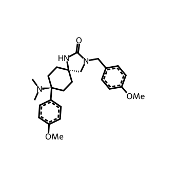 COc1ccc(CN2C[C@]3(CC[C@](c4ccc(OC)cc4)(N(C)C)CC3)NC2=O)cc1